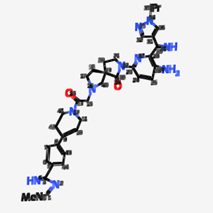 CN/C=N\C(=N)c1ccc(C2=CCN(C(=O)CN3CC[C@]4(CCN(c5ccc(N)c(C(=N)c6cnn(C(C)C)c6)n5)C4=O)C3)CC2)cc1